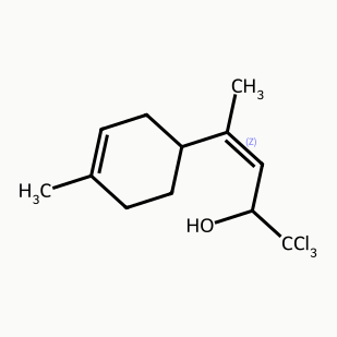 CC1=CCC(/C(C)=C\C(O)C(Cl)(Cl)Cl)CC1